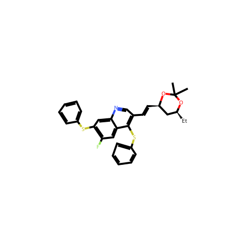 CC[C@H]1C[C@@H](/C=C/c2cnc3cc(Sc4ccccc4)c(F)cc3c2Sc2ccccc2)OC(C)(C)O1